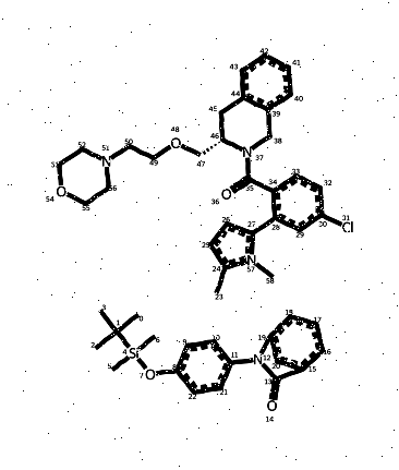 CC(C)(C)[Si](C)(C)Oc1ccc(N2C(=O)c3cccc2c3)cc1.Cc1ccc(-c2cc(Cl)ccc2C(=O)N2Cc3ccccc3C[C@H]2COCCN2CCOCC2)n1C